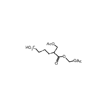 CC(=O)OCOC(=O)C(CCCC(=O)O)COC(C)=O